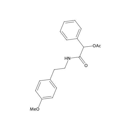 COc1ccc(CCNC(=O)C(OC(C)=O)c2ccccc2)cc1